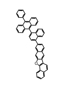 c1ccc(-c2c3ccccc3c(-c3ccc(-c4ccc5cc6c(cc5c4)oc4c5ccccc5ccc64)c4ccccc34)c3ccccc23)cc1